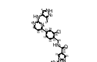 Cc1n[nH]cc1Nc1nccc(-c2ccc(CNC(=O)c3cnn(C(C)(C)C)c3)c(Cl)c2)n1